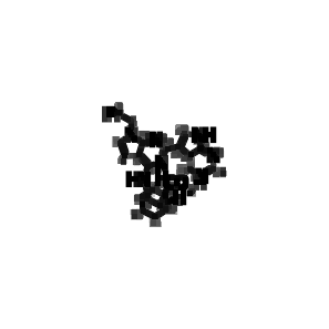 CC(C)Cn1ccc2c(N[C@@H]3C4CCC(CC4)[C@H]3C(=O)O)nc(-c3c[nH]c4ncncc34)nc21